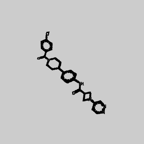 O=C(Nc1ccc(C2CCN(C(=O)c3ccc(Cl)cc3)CC2)cc1)C1CN(c2ccnnc2)C1